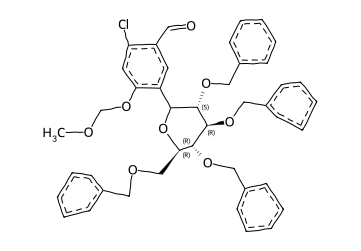 COCOc1cc(Cl)c(C=O)cc1C1O[C@H](COCc2ccccc2)[C@@H](OCc2ccccc2)[C@H](OCc2ccccc2)[C@H]1OCc1ccccc1